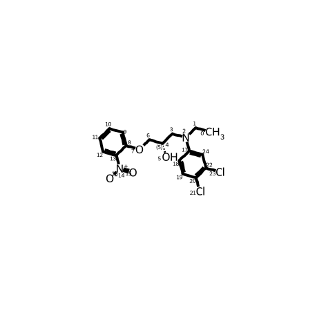 CCN(C[C@H](O)COc1ccccc1[N+](=O)[O-])c1ccc(Cl)c(Cl)c1